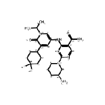 CC(C)n1cc(Nc2nc(N3CCC[C@H](N)C3)ncc2C(N)=O)cc(C2CCC(F)(F)CC2)c1=O